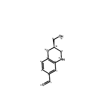 O=Cc1ccc2c(c1)NC[C@H](CO)O2